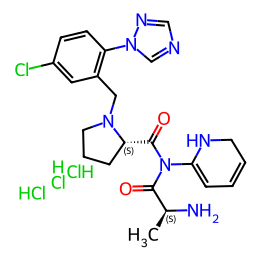 C[C@H](N)C(=O)N(C(=O)[C@@H]1CCCN1Cc1cc(Cl)ccc1-n1cncn1)C1=CC=CCN1.Cl.Cl.Cl